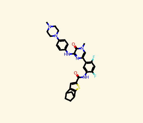 CN1CCN(c2ccc(Nc3nc(-c4cc(NC(=O)c5cc6c(s5)C5CCC6C5)c(F)cc4F)cn(C)c3=O)cc2)CC1